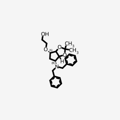 CC1(C)OC2[C@@H](OCCO)C[C@@H](N(Cc3ccccc3)Cc3ccccc3)[C@H]2O1